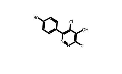 Oc1c(Cl)nnc(-c2ccc(Br)cc2)c1Cl